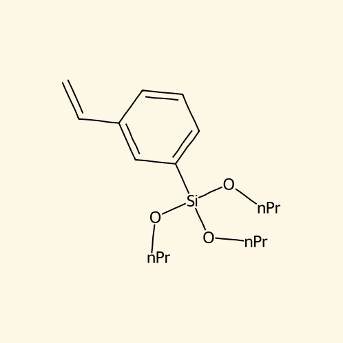 C=Cc1cccc([Si](OCCC)(OCCC)OCCC)c1